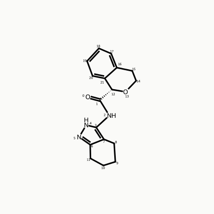 O=C(Nc1[nH]nc2c1CCCC2)[C@H]1OCCc2ccccc21